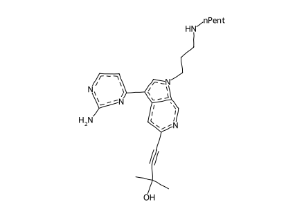 CCCCCNCCCn1cc(-c2ccnc(N)n2)c2cc(C#CC(C)(C)O)ncc21